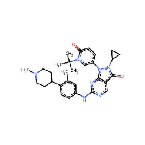 Cc1cc(Nc2ncc3c(=O)n(C4CC4)n(-c4ccc(=O)n(C(C)(C)C)c4)c3n2)ccc1C1CCN(C)CC1